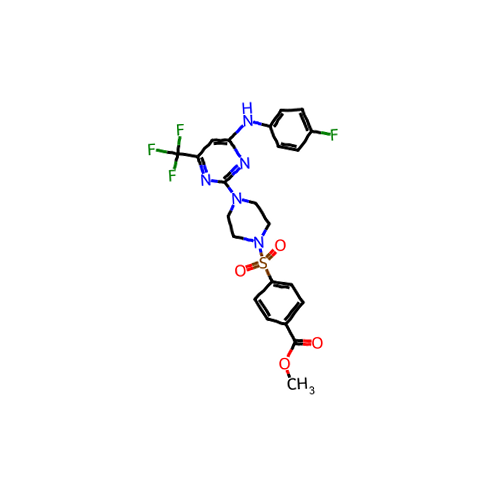 COC(=O)c1ccc(S(=O)(=O)N2CCN(c3nc(Nc4ccc(F)cc4)cc(C(F)(F)F)n3)CC2)cc1